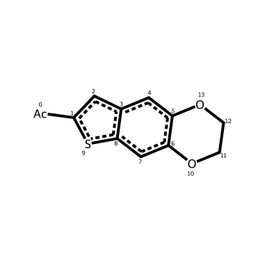 CC(=O)c1cc2cc3c(cc2s1)OCCO3